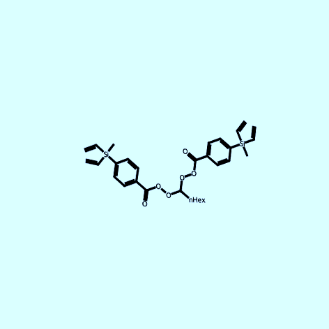 [CH2]CCCCC[C](OOC(=O)c1ccc([Si](C)(C=C)C=C)cc1)OOC(=O)c1ccc([Si](C)(C=C)C=C)cc1